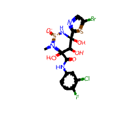 CN1[S+]([O-])NC(O)(c2ncc(Br)s2)C(O)C1(O)C(=O)Nc1ccc(F)c(Cl)c1